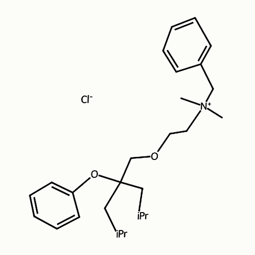 CC(C)CC(COCC[N+](C)(C)Cc1ccccc1)(CC(C)C)Oc1ccccc1.[Cl-]